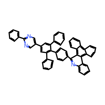 c1ccc(-c2ncc(-c3cc(-c4ccccc4)c(-c4ccc(-c5nc6ccccc6c6c7ccccc7c7ccccc7c56)cc4)c(-c4ccccc4)c3)cn2)cc1